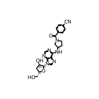 N#Cc1ccc(C(=O)N2CC[C@@H](Nc3ncnc4c3ncn4[C@@H]3O[C@H](CO)C[C@H]3O)C2)cc1